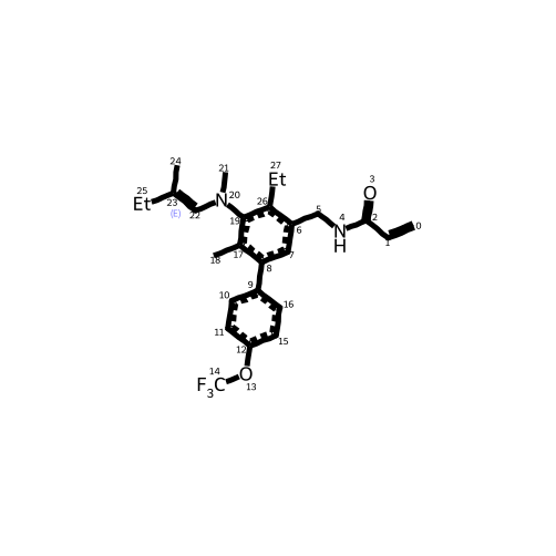 C=CC(=O)NCc1cc(-c2ccc(OC(F)(F)F)cc2)c(C)c(N(C)/C=C(\C)CC)c1CC